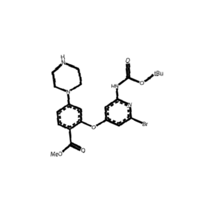 COC(=O)c1ccc(N2CCNCC2)cc1Oc1cc(Br)nc(NC(=O)OC(C)(C)C)c1